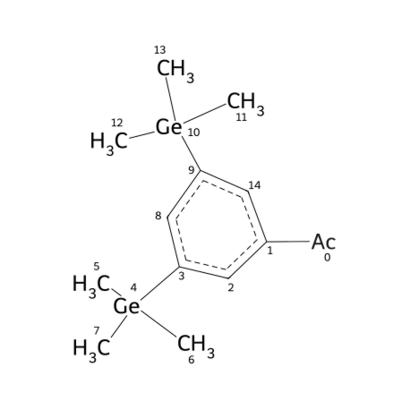 CC(=O)c1c[c]([Ge]([CH3])([CH3])[CH3])c[c]([Ge]([CH3])([CH3])[CH3])c1